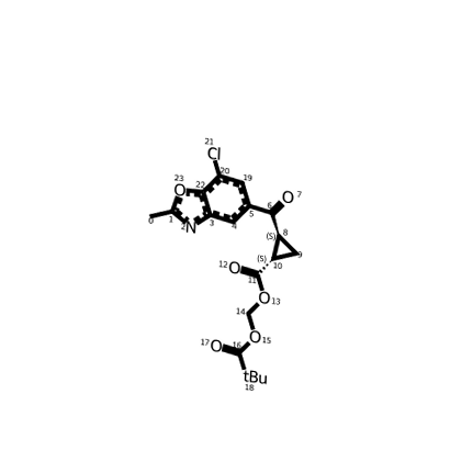 Cc1nc2cc(C(=O)[C@H]3C[C@@H]3C(=O)OCOC(=O)C(C)(C)C)cc(Cl)c2o1